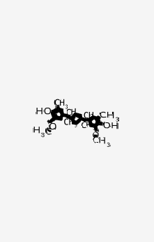 COCc1cc(C(C)(C)c2ccc(C(C)(C)c3cc(C)c(O)c(COC)c3)cc2)cc(C)c1O